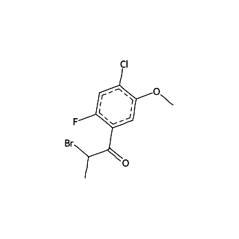 COc1cc(C(=O)C(C)Br)c(F)cc1Cl